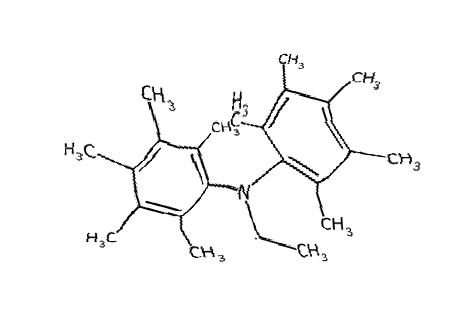 C[CH]N(c1c(C)c(C)c(C)c(C)c1C)c1c(C)c(C)c(C)c(C)c1C